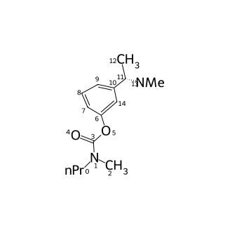 CCCN(C)C(=O)Oc1cccc([C@H](C)NC)c1